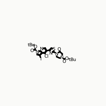 CC(C)(C)OC(=O)N1CCN(c2nc(-c3cnc4c(c(I)cn4C(=O)OC(C)(C)C)c3Cl)cs2)C(=O)C1